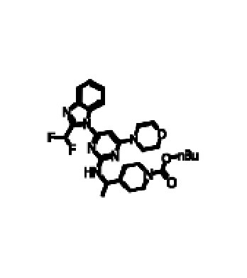 CCCCOC(=O)N1CCC(C(C)Nc2nc(N3CCOCC3)cc(-n3c(C(F)F)nc4ccccc43)n2)CC1